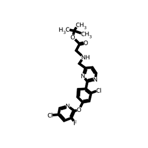 CC(C)(C)OC(=O)CNCc1ccnc(-c2ccc(Oc3ncc(Cl)cc3F)cc2Cl)n1